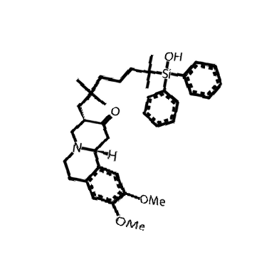 COc1cc2c(cc1OC)[C@H]1CC(=O)[C@H](CC(C)(C)CCCC(C)(C)[Si](O)(c3ccccc3)c3ccccc3)CN1CC2